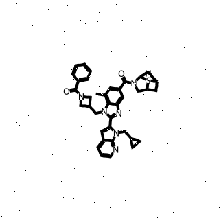 Cc1cc(C(=O)N2CC3CC4CC2[SH]43)cc2nc(-c3cc4cccnc4n3CC3CC3)n(CC3CN(C(=O)c4ccccc4)C3)c12